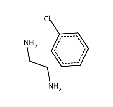 Clc1ccccc1.NCCN